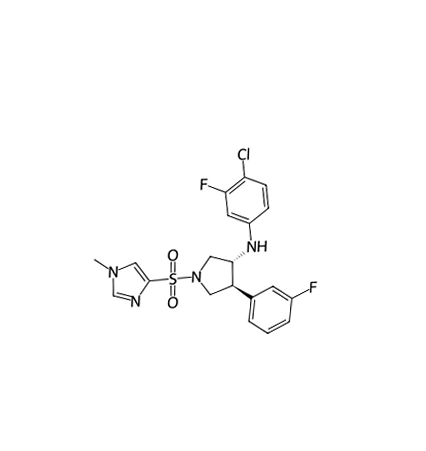 Cn1cnc(S(=O)(=O)N2C[C@H](Nc3ccc(Cl)c(F)c3)[C@@H](c3cccc(F)c3)C2)c1